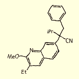 CCc1cc2ccc(C(C#N)(Cc3ccccc3)C(C)C)cc2nc1OC